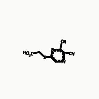 N#Cc1ncc(SCC(=O)O)nc1C#N